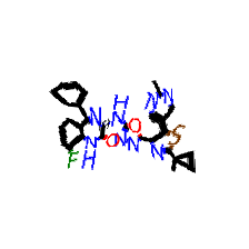 Cc1ncc(-c2sc(C3(C)CC3)nc2-c2nnc(N[C@H]3N=C(c4ccccc4)c4cccc(F)c4NC3=O)o2)cn1